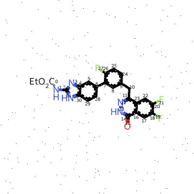 CCOC(=O)Nc1nc2cc(-c3cc(Cc4n[nH]c(=O)c5cc(F)c(F)cc45)ccc3F)ccc2[nH]1